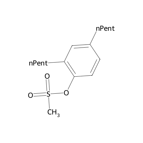 CCCCCc1ccc(OS(C)(=O)=O)c(CCCCC)c1